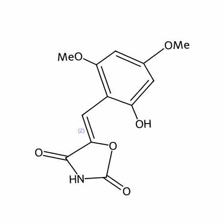 COc1cc(O)c(/C=C2\OC(=O)NC2=O)c(OC)c1